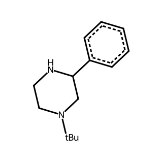 CC(C)(C)N1CCNC(c2ccccc2)C1